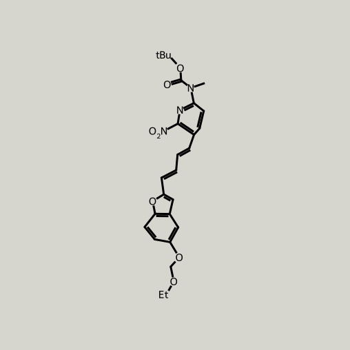 CCOCOc1ccc2oc(/C=C/C=C/c3ccc(N(C)C(=O)OC(C)(C)C)nc3[N+](=O)[O-])cc2c1